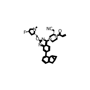 C=CC(=O)N1CCN(c2nc(OC[C@@H]3C[C@@H](F)CN3C)nc3cc(-c4cccc5c4C4CC4C5)ccc23)C[C@@H]1CC#N